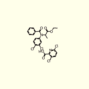 CCOC(=O)C(C)N(C(=O)c1ccccc1)c1ccc(Cl)c(Cl)c1.O=C(O)c1nc(Cl)ccc1Cl